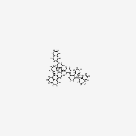 c1cc(-c2cccc3c2c2ccccc2n3-c2cccc3ccccc23)cc(N(c2ccc(-c3ccc4ccccc4c3)cc2)c2ccc(-c3cccc4ccccc34)c3sc4ccccc4c23)c1